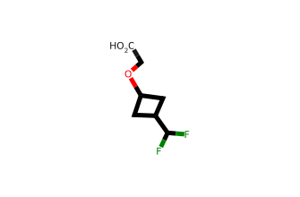 O=C(O)COC1CC(C(F)F)C1